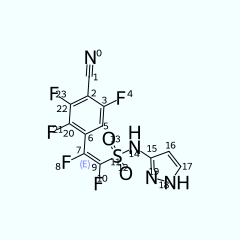 N#Cc1c(F)cc(/C(F)=C(/F)S(=O)(=O)Nc2cc[nH]n2)c(F)c1F